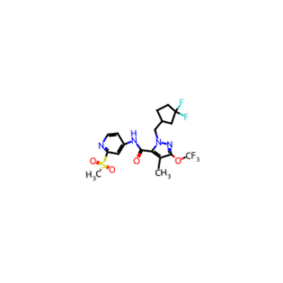 Cc1c(OC(F)(F)F)nn(CC2CCC(F)(F)C2)c1C(=O)Nc1ccnc(S(C)(=O)=O)c1